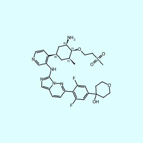 C[C@H]1C[C@@H](c2ccncc2Nc2ncc3ccc(-c4c(F)cc(C5(O)CCOCC5)cc4F)nn23)C[C@@H](N)[C@H]1OCCS(C)(=O)=O